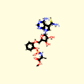 COC(=O)[C@H](C)/N=[P+](\[O-])Oc1ccccc1OCC1O[C@@H](n2cc(C(N)=S)c3c(N)ncnc32)[C@H](O)C1O